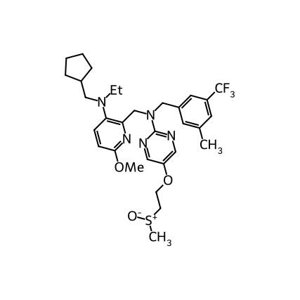 CCN(CC1CCCC1)c1ccc(OC)nc1CN(Cc1cc(C)cc(C(F)(F)F)c1)c1ncc(OCC[S+](C)[O-])cn1